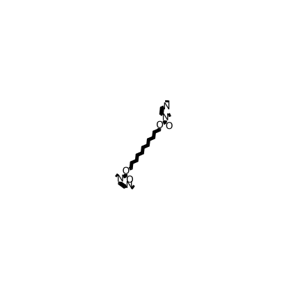 C=N/C=C\N(C)C(=O)OCCCCCCCCCCCOC(=O)N(C)/C=C\N=C